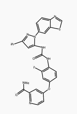 CNC(=O)c1cc(Oc2ccc(NC(=O)Nc3cc(C(C)C)nn3-c3ccc4ncsc4c3)c(F)c2)ccn1